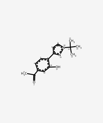 CC(=O)c1ccc(-c2ccn(C(C)(C)C)n2)c(O)c1